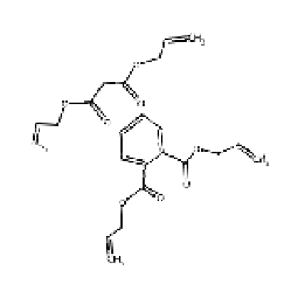 C=CCOC(=O)CC(=O)OCC=C.C=CCOC(=O)c1ccccc1C(=O)OCC=C